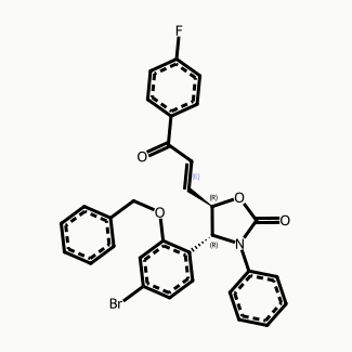 O=C(/C=C/[C@H]1OC(=O)N(c2ccccc2)[C@@H]1c1ccc(Br)cc1OCc1ccccc1)c1ccc(F)cc1